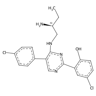 CC[C@H](N)CNc1nc(-c2cc(Cl)ccc2O)ncc1-c1ccc(Cl)cc1